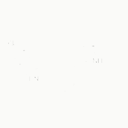 CCC[C@H](NC(=O)COc1cccc(CCNS(=O)(=O)c2ccc(Cl)cc2)c1)C(=O)O